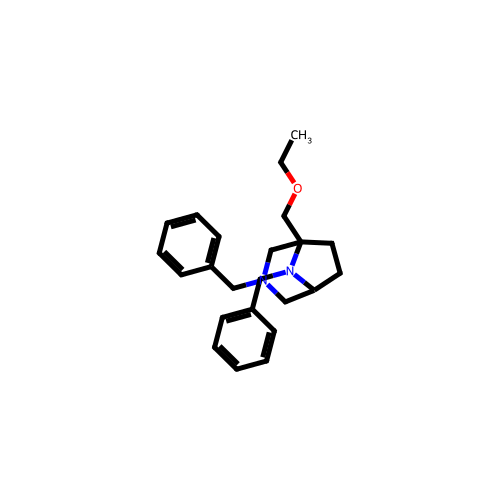 CCOCC12CCC(CN(Cc3ccccc3)C1)N2Cc1ccccc1